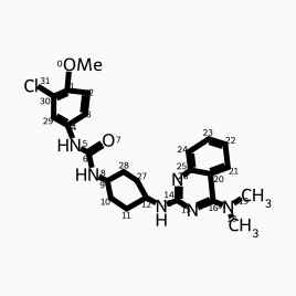 COc1ccc(NC(=O)NC2CCC(Nc3nc(N(C)C)c4ccccc4n3)CC2)cc1Cl